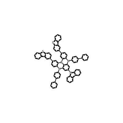 c1ccc(-c2ccc(N3c4ccc(-c5ccc6sc7ccccc7c6c5)cc4B4c5cc(-c6ccc7sc8ccccc8c7c6)ccc5N(c5ccc(-c6ccccc6)cc5)c5cc(-n6c7ccccc7c7ccccc76)cc3c54)cc2)cc1